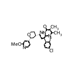 COc1cc([C@H]2C[C@@H](c3cc(-c4ccc(Cl)cc4F)c4nc(C)c(C)c(=O)n4n3)CCO2)ccn1